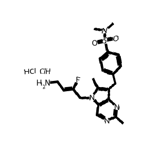 Cc1ncc2c(n1)c(Cc1ccc(S(=O)(=O)N(C)C)cc1)c(C)n2CC(F)=CCN.Cl.Cl